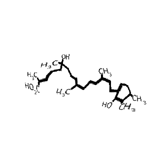 CC(CCCC(C)CCC1=CCC(C)C(C)C1O)CCCC(C)(O)CCCC(C)C(=O)O